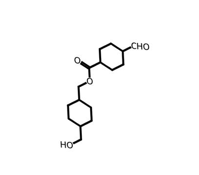 O=CC1CCC(C(=O)OCC2CCC(CO)CC2)CC1